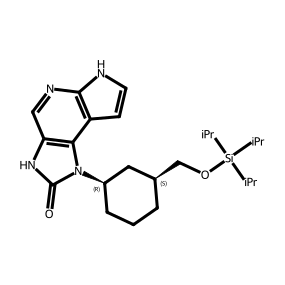 CC(C)[Si](OC[C@H]1CCC[C@@H](n2c(=O)[nH]c3cnc4[nH]ccc4c32)C1)(C(C)C)C(C)C